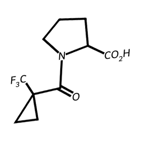 O=C(O)C1CCCN1C(=O)C1(C(F)(F)F)CC1